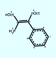 CCCCCCCCC(P)=C(CCCCCCCC)c1ccccc1